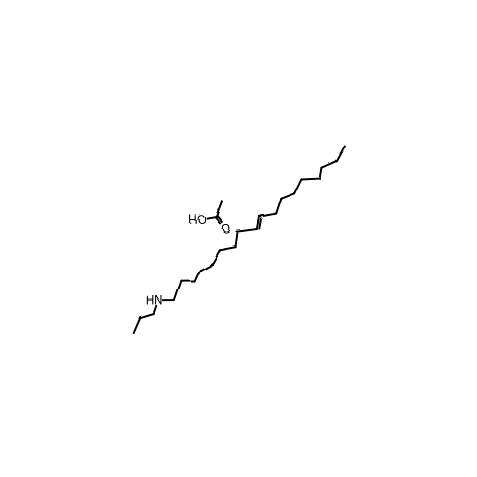 CC(=O)O.CCCCCCCCC=CCCCCCCCCNCCC